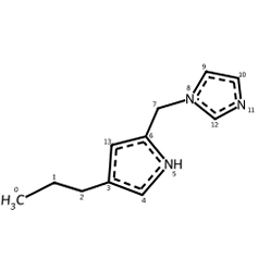 CCCc1c[nH]c(Cn2ccnc2)c1